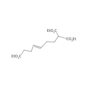 CCOC(=O)CCC=CCCC(C(=O)OCC)C(=O)OCC